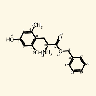 Cc1cc(O)cc(C)c1C[C@H](N)C(=O)OCc1ccccc1